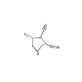 CC1CNC(C#N)N1C#N